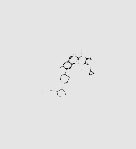 CO[C@H]1COC[C@H]1N1CCC(c2cc3nc(Nc4cnn(C5CC5)c4C)ncc3cc2Cl)CC1